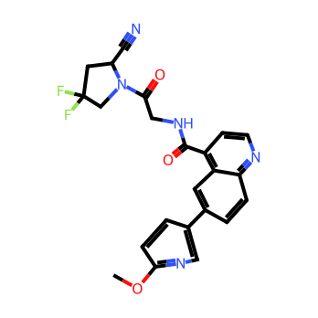 COc1ccc(-c2ccc3nccc(C(=O)NCC(=O)N4CC(F)(F)CC4C#N)c3c2)cn1